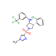 Cn1cnc(S(=O)(=O)N2C[C@@H](Nc3cccc(C(F)(F)F)c3)[C@H](c3ccccc3Cl)C2)c1